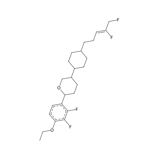 CCOc1ccc(C2CCC(C3CCC(CCC=C(F)CF)CC3)CO2)c(F)c1F